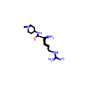 CN1CCC(NC(=O)C(N)CCCNC(N)N)CC1